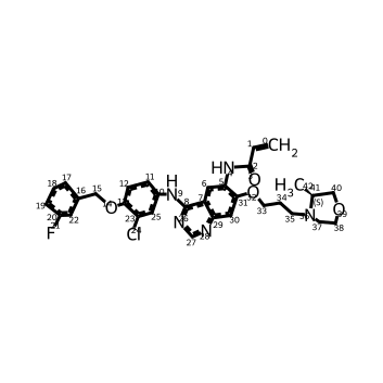 C=CC(=O)Nc1cc2c(Nc3ccc(OCc4cccc(F)c4)c(Cl)c3)ncnc2cc1OCCCN1CCOC[C@@H]1C